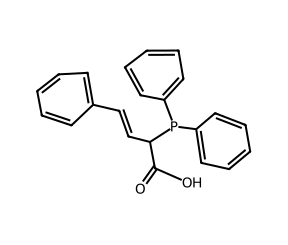 O=C(O)C(C=Cc1ccccc1)P(c1ccccc1)c1ccccc1